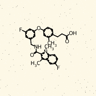 Cc1cc(Oc2cc(F)cc(CNC(=O)c3c(C)c4cc(F)ccc4n3C)c2)ccc1CCC(=O)O